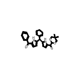 CC1(C)COC(C(=O)c2ccc(C(c3ccccc3)c3ccc(C(=O)c4ccccc4)[nH]3)[nH]2)OC1